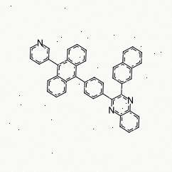 c1cncc(-c2c3ccccc3c(-c3ccc(-c4nc5ccccc5nc4-c4ccc5ccccc5c4)cc3)c3ccccc23)c1